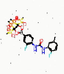 Cc1ccc(F)c(NC(=O)Nc2ccc(B3OC(S(C)(=O)=O)(S(C)(=O)=O)C(S(C)(=O)=O)(S(C)(=O)=O)O3)cc2F)c1